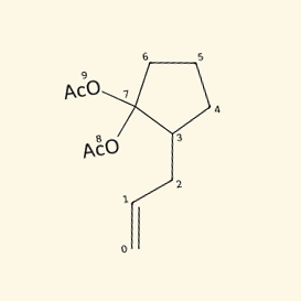 C=CCC1CCCC1(OC(C)=O)OC(C)=O